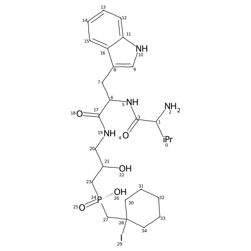 CC(C)C(N)C(=O)NC(Cc1c[nH]c2ccccc12)C(=O)NCC(O)C[P@@](=O)(O)CC1(I)CCCCC1